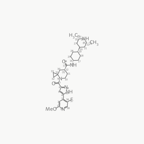 COc1cc(-c2cc(C(=O)N3CC[C@H](C(=O)N[C@H]4CC[C@H](C5C[C@@H](C)N[C@@H](C)C5)CC4)CC34CC4)n[nH]2)c(F)cn1